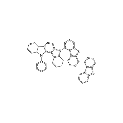 C1=CC2c3ccc4c(c5c(n4-c4cccc6sc7c(-c8cccc9sc%10ccccc%10c89)cccc7c46)CCC=C5)c3N(c3ccccc3)C2C=C1